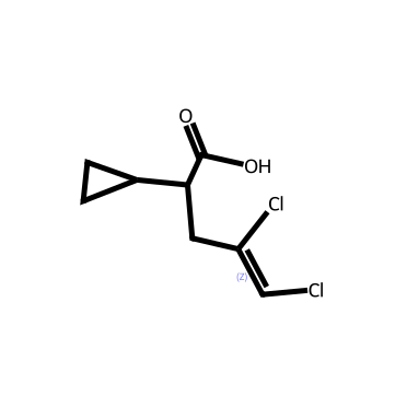 O=C(O)C(C/C(Cl)=C/Cl)C1CC1